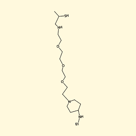 CCNC1CCN(CCOCCOCCOCCNCC(C)S)CC1